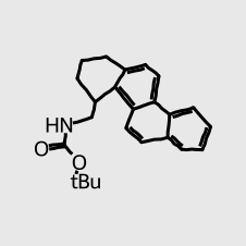 CC(C)(C)OC(=O)NCC1CCCc2ccc3c(ccc4ccccc43)c21